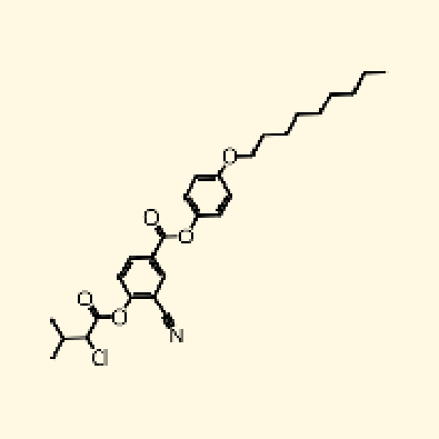 CCCCCCCCCOc1ccc(OC(=O)c2ccc(OC(=O)C(Cl)C(C)C)c(C#N)c2)cc1